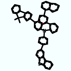 CC1(C)c2ccccc2-c2ccc(-c3ccc(N(c4ccc(-c5ccc6sc7ccccc7c6c5)cc4)c4ccccc4-c4cccc(-c5cccc6ccccc56)c4)cc3)cc21